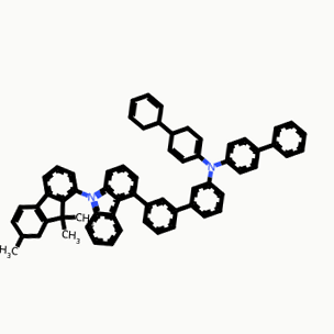 CC1C=CC2=C(C1)C(C)(C)c1c2cccc1-n1c2ccccc2c2c(-c3cccc(-c4cccc(N(C5=CCC(C6C=CC=CC6)C=C5)c5ccc(-c6ccccc6)cc5)c4)c3)cccc21